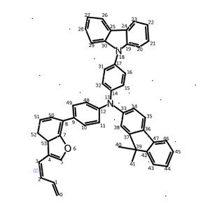 C=C/C=C\C1=COC2=C(c3ccc(N(c4ccc(-n5c6ccccc6c6ccccc65)cc4)c4ccc5c(c4)C(C)(C)c4ccccc4-5)cc3)C=CCC12